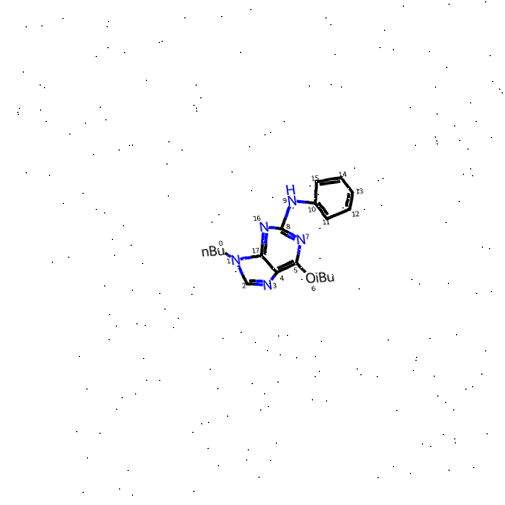 CCCCn1cnc2c(OCC(C)C)nc(Nc3ccccc3)nc21